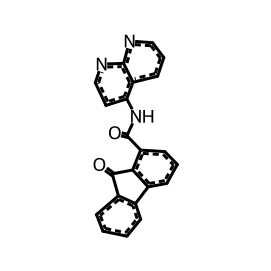 O=C(Nc1ccnc2ncccc12)c1cccc2c1C(=O)c1ccccc1-2